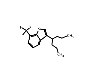 CCCC(CCC)c1csc2c(C(F)(F)F)cccc12